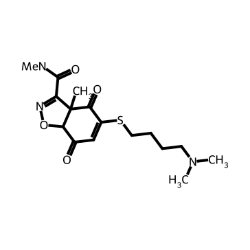 CNC(=O)C1=NOC2C(=O)C=C(SCCCCN(C)C)C(=O)C12C